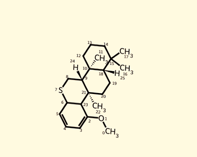 COC1=CC=CC2SC[C@@H]3[C@@]4(C)CCCC(C)(C)[C@@H]4CC[C@@]3(C)C12